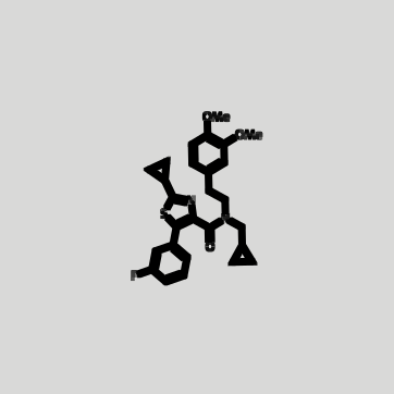 COc1ccc(CCN(CC2CC2)C(=O)c2nc(C3CC3)sc2-c2cccc(F)c2)cc1OC